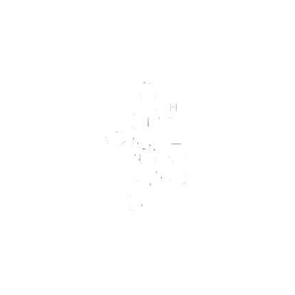 CC1(C)c2ccccc2-c2cc3c4ccccc4n(-c4nc(-c5ccccc5)c5c(n4)c4cc6ccccc6cc4n5-c4ccccc4)c3cc21